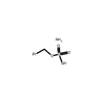 CCCS(=O)(=O)OCC(C)C.N